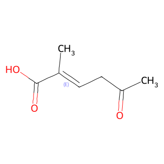 CC(=O)C/C=C(\C)C(=O)O